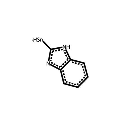 [SnH][c]1nc2ccccc2[nH]1